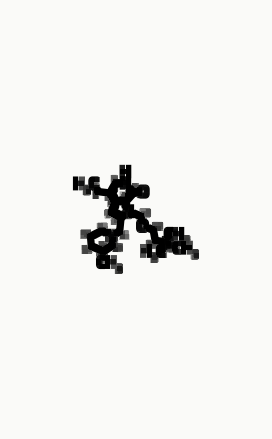 CCc1c[nH]c(=O)c2c1cc(CN1CCC[C@H](C)C1)n2COCC[Si](C)(C)C